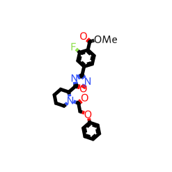 COC(=O)c1ccc(-c2noc(C3CCCCN3C(=O)COc3ccccc3)n2)cc1F